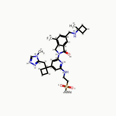 CNS(=O)(=O)CCNc1cc(C2(Cc3nncn3C)CCC2)cc(N2Cc3c(cc(CNC4(C)CCC4)cc3C(F)(F)F)C2=O)n1